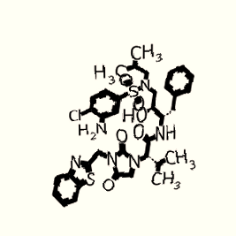 CC(C)CN(C[C@H](O)[C@H](Cc1ccccc1)NC(=O)[C@H](C(C)C)N1CC(=O)N(Cc2nc3ccccc3s2)C1=O)S(=O)(=O)c1ccc(Cl)c(N)c1